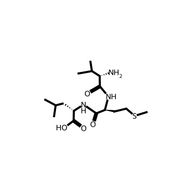 CSCC[C@H](NC(=O)[C@@H](N)C(C)C)C(=O)N[C@@H](CC(C)C)C(=O)O